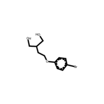 OCC(CO)CCOc1ccc(Br)cc1